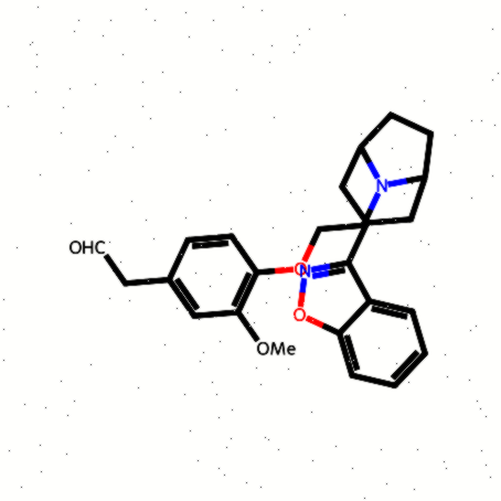 COc1cc(CC=O)ccc1OCCN1C2CCC1CC(c1noc3ccccc13)C2